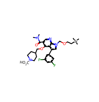 CN(C)C(=O)c1cnc2c(c(-c3cc(F)cc(F)c3)cn2COCC[Si](C)(C)C)c1OCC1CCN(C(=O)O)CC1